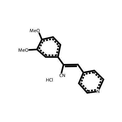 COc1ccc(C(C#N)=Cc2ccncc2)cc1OC.Cl